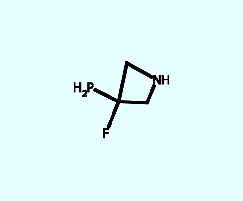 FC1(P)CNC1